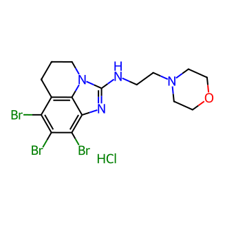 Brc1c(Br)c2c3c(nc(NCCN4CCOCC4)n3CCC2)c1Br.Cl